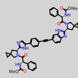 COC(=O)N[C@H](C(=O)N1CC2(CC2)C[C@H]1c1ncc(-c2ccc(C#Cc3ccc4nc([C@@H]5CC6(CC6)CN5C(=O)[C@@H](NC(=O)OC)c5ccccc5)[nH]c4c3)cc2)[nH]1)c1ccccc1